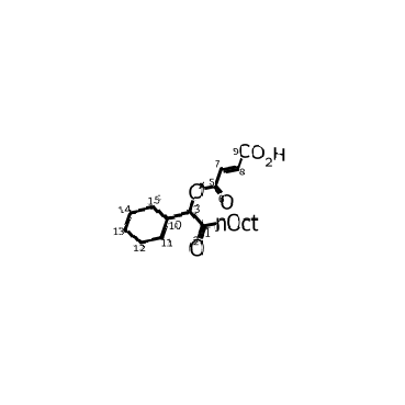 CCCCCCCCC(=O)C(OC(=O)/C=C/C(=O)O)C1CCCCC1